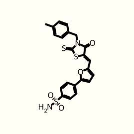 Cc1ccc(CN2C(=O)C(=Cc3ccc(-c4ccc(S(N)(=O)=O)cc4)o3)SC2=S)cc1